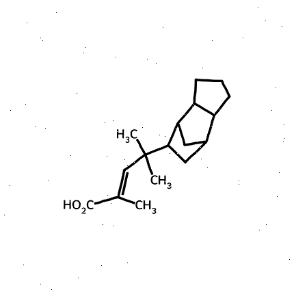 CC(=CC(C)(C)C1CC2CC1C1CCCC21)C(=O)O